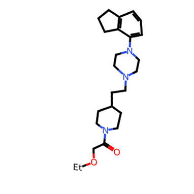 CCOCC(=O)N1CCC(CCN2CCN(c3cccc4c3CCC4)CC2)CC1